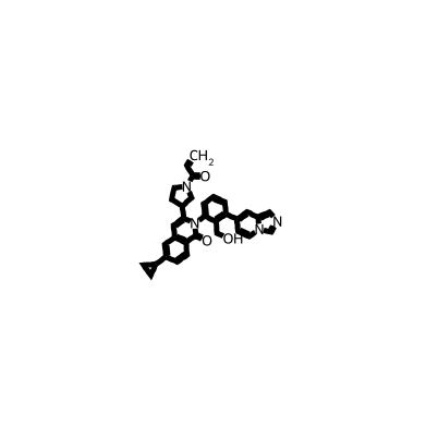 C=CC(=O)N1CCC(c2cc3cc(C4CC4)ccc3c(=O)n2-c2cccc(-c3ccn4cncc4c3)c2CO)C1